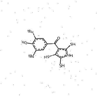 CC(C)(C)c1cc(C(=O)c2c(S)[nH]c(S)c2S)cc(C(C)(C)C)c1O